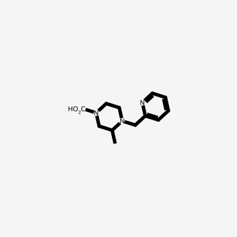 CC1CN(C(=O)O)CCN1Cc1ccccn1